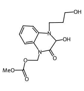 COC(=O)OCN1C(=O)C(O)N(CCCO)c2ccccc21